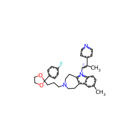 C/C(=C\n1c2c(c3cc(C)ccc31)CCN(CCCC1(c3ccc(F)cc3)OCCO1)CC2)c1ccncc1